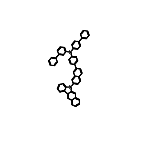 c1ccc(-c2ccc(N(c3ccc(-c4ccc5ccc(-n6c7ccccc7c7cc8ccccc8cc76)cc5c4)cc3)c3cccc(-c4ccccc4)c3)cc2)cc1